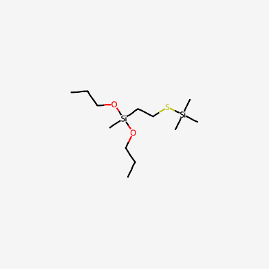 CCCO[Si](C)(CCS[Si](C)(C)C)OCCC